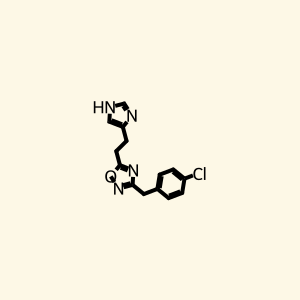 Clc1ccc(Cc2noc(CCc3c[nH]cn3)n2)cc1